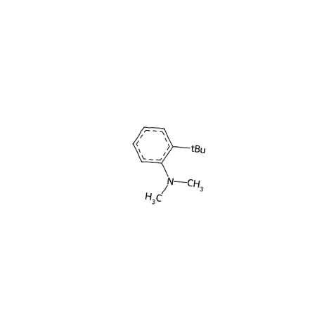 CN(C)c1ccccc1C(C)(C)C